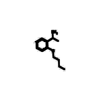 CCCCOc1cc[c]cc1C(C)N